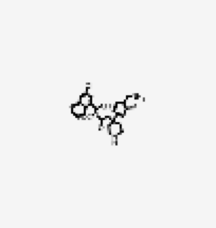 CC(c1cc(Cl)cc2ccccc12)N(C)C(=O)CC1(c2ccc(CN)c(F)c2)CCNCC1